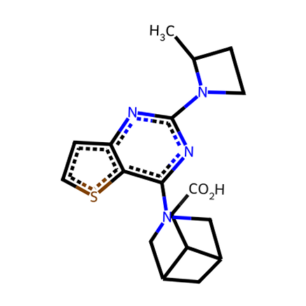 CC1CCN1c1nc(N2CC3CC(C2)C3CC(=O)O)c2sccc2n1